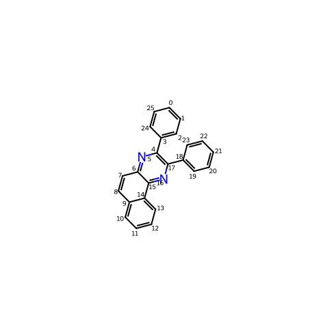 c1ccc(-c2nc3ccc4ccccc4c3nc2-c2ccccc2)cc1